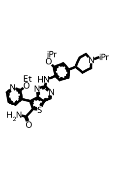 CCOc1ncccc1-c1c(C(N)=O)sc2cnc(Nc3ccc(C4CCN(C(C)C)CC4)cc3OC(C)C)nc12